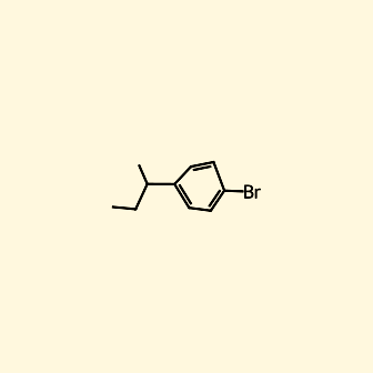 CCC(C)c1ccc(Br)cc1